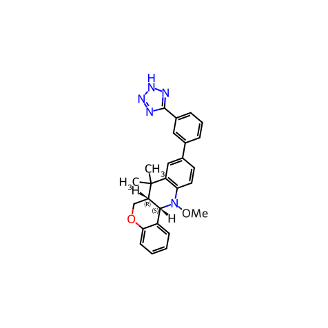 CON1c2ccc(-c3cccc(-c4nn[nH]n4)c3)cc2C(C)(C)[C@H]2COc3ccccc3[C@H]21